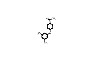 CC(=O)c1ccc(Sc2cc(C)cc(C)c2)cc1